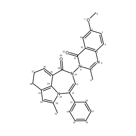 COc1ccc2nc(C)n(N3C=C(c4ccccc4)n4c(C)cc5c4C(=CCC5)C3=O)c(=O)c2c1